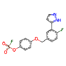 O=S(=O)(F)Oc1ccc(OCc2ccc(F)c(-c3ccn[nH]3)c2)cc1